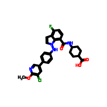 COc1ncc(-c2ccc(Nn3ccc4c(F)ccc(C(=O)NC5CCC(C(=O)O)CC5)c43)cc2)cc1Cl